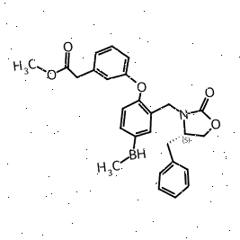 CBc1ccc(Oc2cccc(CC(=O)OC)c2)c(CN2C(=O)OC[C@@H]2Cc2ccccc2)c1